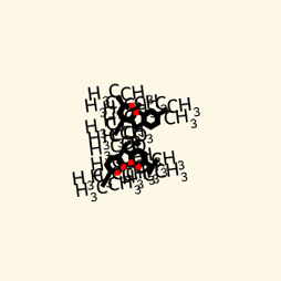 CC(C)(C)c1ccc(C(C)(O[PH](=O)OC(C)(c2ccc(C(C)(C)C)cc2C(C)(C)C)c2ccc(C(C)(C)C)cc2C(C)(C)C)c2ccc(C(C)(C)C)cc2C(C)(C)C)c(C(C)(C)C)c1